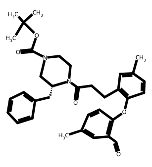 Cc1ccc(Oc2ccc(C)cc2CCC(=O)N2CCN(C(=O)OC(C)(C)C)C[C@H]2Cc2ccccc2)c(C=O)c1